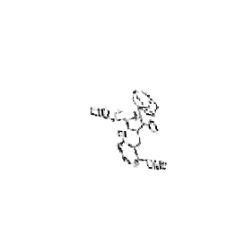 CCOC(=O)[C@@H]1CC(Cc2c(Cl)cccc2OC)C(=O)N1C12CC3CC(CC(C3)C1)C2